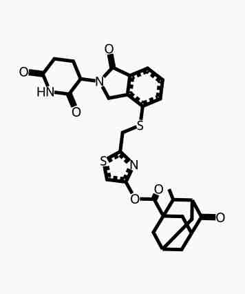 CC1C2CC3CC(CC1(C(=O)Oc1csc(CSc4cccc5c4CN(C4CCC(=O)NC4=O)C5=O)n1)C3)C2=O